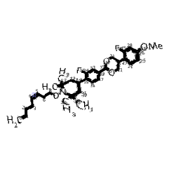 C=CCC/C=C\CCON1C(C)(C)CC(c2ccc(C3OCC(c4ccc(OC)cc4F)CO3)cc2F)CC1(C)C